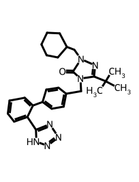 CC(C)(C)c1nn(CC2CCCCC2)c(=O)n1Cc1ccc(-c2ccccc2-c2nnn[nH]2)cc1